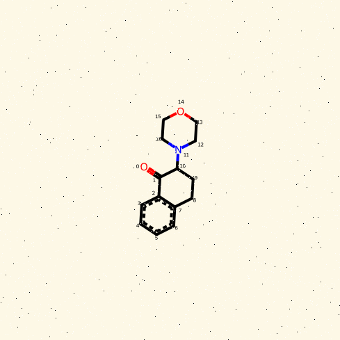 O=C1c2ccccc2CCC1N1CCOCC1